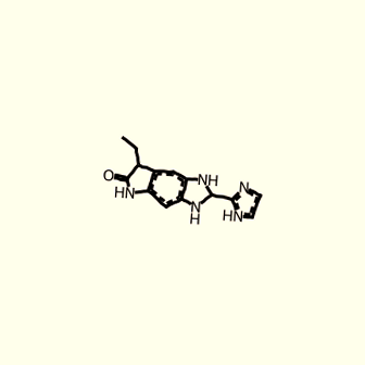 CCC1C(=O)Nc2cc3c(cc21)NC(c1ncc[nH]1)N3